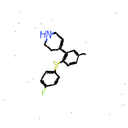 Cc1ccc(Sc2ccc(F)cc2)c(C2=CCNCC2)c1